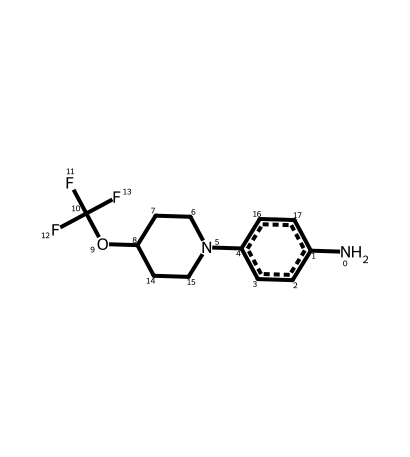 Nc1ccc(N2CCC(OC(F)(F)F)CC2)cc1